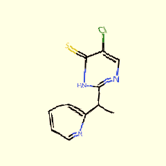 CC(c1ccccn1)c1ncc(Cl)c(=S)[nH]1